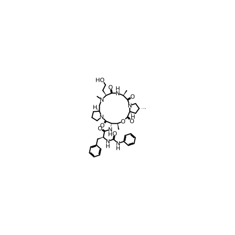 C[C@@H]1C[C@H]2C(=O)O[C@@H](C)[C@H](NC(=O)[C@H](Cc3ccccc3)NC(=O)Nc3ccccc3)C(=O)N3CCC[C@H]3CN(C)[C@@H](CCO)C(=O)N[C@@H](C)C(=O)N2C1